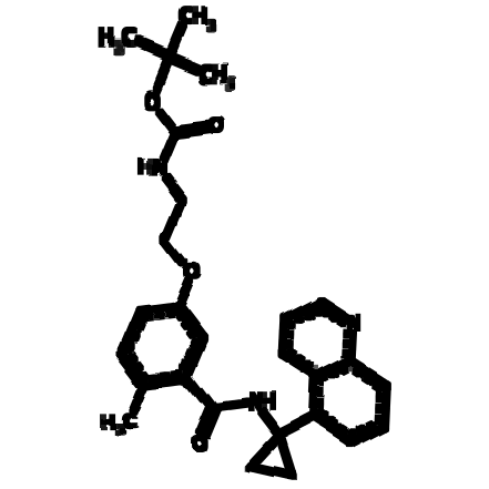 Cc1ccc(OCCNC(=O)OC(C)(C)C)cc1C(=O)NC1(c2cccc3ncccc23)CC1